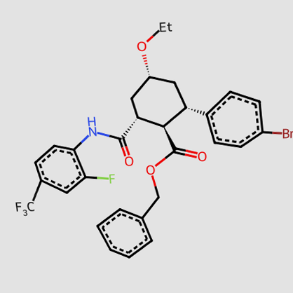 CCO[C@@H]1C[C@H](c2ccc(Br)cc2)[C@@H](C(=O)OCc2ccccc2)[C@H](C(=O)Nc2ccc(C(F)(F)F)cc2F)C1